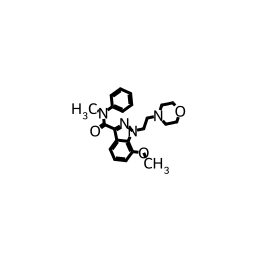 COc1cccc2c(C(=O)N(C)c3ccccc3)nn(CCN3CCOCC3)c12